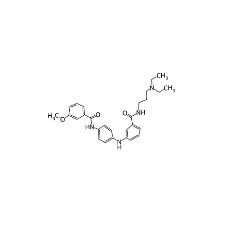 CCN(CC)CCCNC(=O)c1cccc(Nc2ccc(NC(=O)c3cccc(OC)c3)cc2)c1